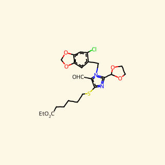 CCOC(=O)CCCCCSc1nc(C2OCCO2)n(Cc2cc3c(cc2Cl)OCO3)c1C=O